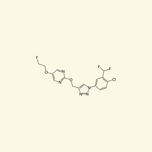 FCCOc1cnc(OCc2cn(-c3ccc(Cl)c(C(F)F)c3)nn2)nc1